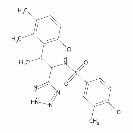 Cc1cc(S(=O)(=O)NC(c2nn[nH]n2)C(C)c2c(Cl)ccc(C)c2C)ccc1Cl